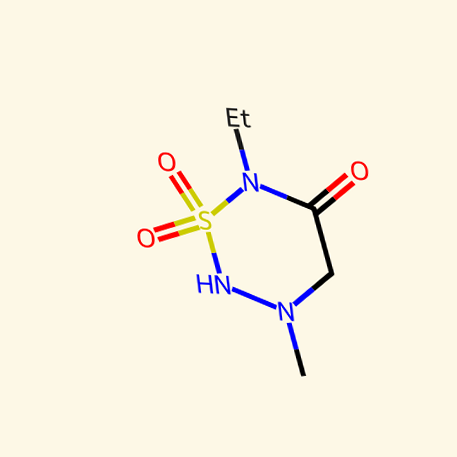 CCN1C(=O)CN(C)NS1(=O)=O